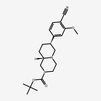 COc1cc([C@@H]2CC[C@H]3CN(C(=O)OC(C)(C)C)CCN3C2)ccc1C#N